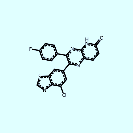 O=c1ccc2nc(-c3cc(Cl)c4ncsc4c3)c(-c3ccc(F)cc3)nc2[nH]1